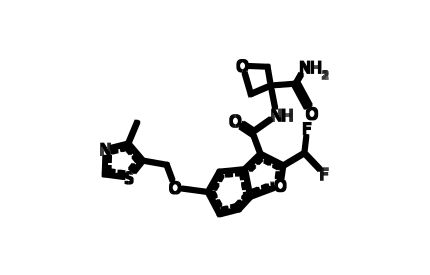 Cc1ncsc1COc1ccc2oc(C(F)F)c(C(=O)NC3(C(N)=O)COC3)c2c1